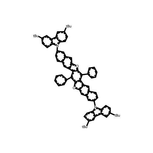 CC(C)(C)c1ccc2c(c1)c1cc(C(C)(C)C)ccc1n2-c1ccc2cc3c(cc2c1)oc1c(-c2ccccc2)c2c(oc4cc5cc(-n6c7ccc(C(C)(C)C)cc7c7cc(C(C)(C)C)ccc76)ccc5cc42)c(-c2ccccc2)c13